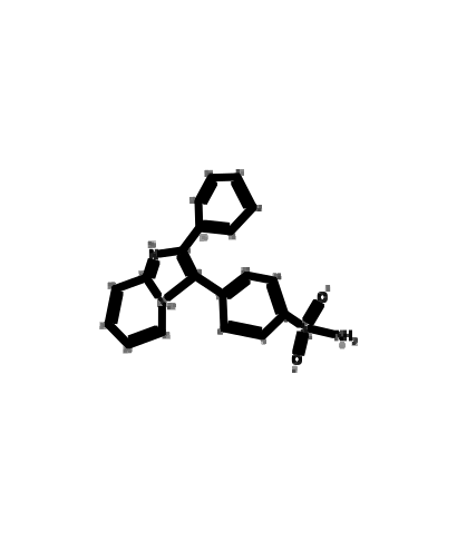 NS(=O)(=O)c1ccc(-c2c(-c3ccccc3)nc3ccccn23)cc1